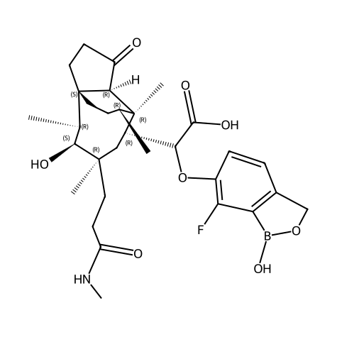 CNC(=O)CC[C@]1(C)C[C@@H](C(Oc2ccc3c(c2F)B(O)OC3)C(=O)O)[C@@]2(C)[C@H](C)CC[C@]3(CCC(=O)[C@H]32)[C@@H](C)[C@@H]1O